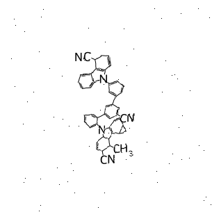 CC1C(C#N)C=CC2C1C1=C(C=CC3CC13)N2c1ccccc1-c1cc(C#N)cc(-c2cccc(-n3c4c(c5ccccc53)C(C#N)CC=C4)c2)c1